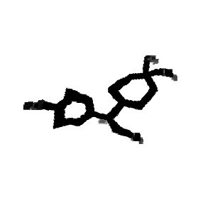 COc1ccc([C@H](CN)C2CCC(C)(C)CC2)cc1